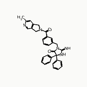 Cc1cc2c(cn1)CN(C(=O)c1cccc(CN3C(=N)NC(c4ccccc4)(c4ccccc4)C3=O)c1)C2